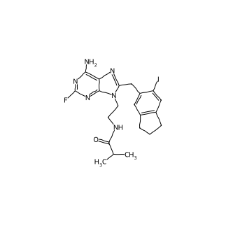 CC(C)C(=O)NCCn1c(Cc2cc3c(cc2I)CCC3)nc2c(N)nc(F)nc21